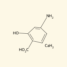 Nc1ccc(C(=O)O)c(O)c1.[CaH2]